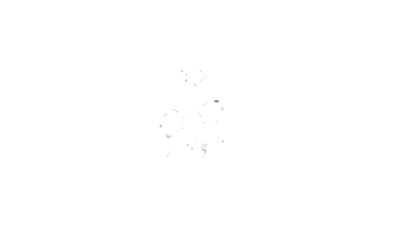 C/C(=C/O)NC1(c2ccccc2)C(=O)Nc2ccc(-c3c(C)noc3C)cc21